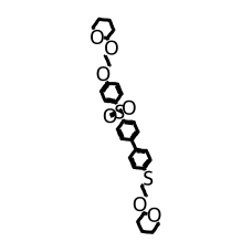 O=S(=O)(c1ccc(OCCOC2CCCCO2)cc1)c1ccc(-c2ccc(SCCOC3CCCCO3)cc2)cc1